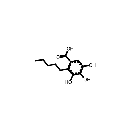 CCCCCc1c(C(=O)O)cc(O)c(O)c1O